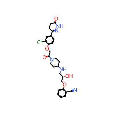 N#Cc1ccccc1OC[C@@H](O)CNC1CCN(C(=O)COc2ccc(C3=NNC(=O)CC3)cc2Cl)CC1